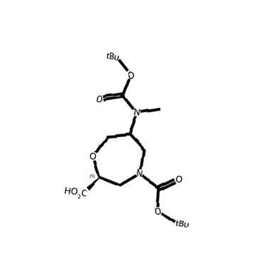 CN(C(=O)OC(C)(C)C)C1CO[C@H](C(=O)O)CN(C(=O)OC(C)(C)C)C1